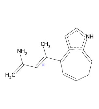 C=C(N)/C=C(\C)C1=c2cc[nH]c2=CCC=C1